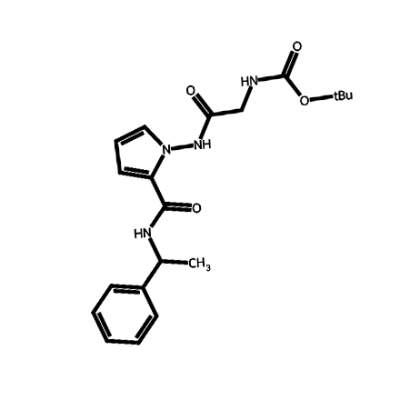 CC(NC(=O)c1cccn1NC(=O)CNC(=O)OC(C)(C)C)c1ccccc1